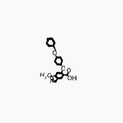 Cn1ncc2cc(C(=O)O)c(Oc3ccc(OCc4ccccc4)cc3)cc21